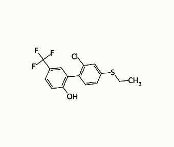 CCSc1ccc(-c2cc(C(F)(F)F)ccc2O)c(Cl)c1